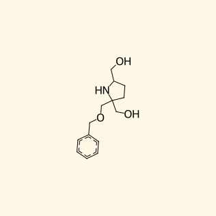 OCC1CCC(CO)(COCc2ccccc2)N1